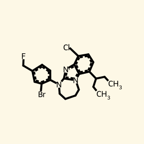 CCC(CC)c1ccc(Cl)c2nc3n(c12)CCCCN3c1ccc(CF)cc1Br